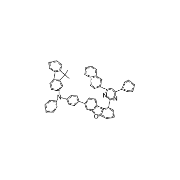 CC1(C)c2ccccc2-c2ccc(N(c3ccccc3)c3ccc(-c4ccc5c(c4)oc4cccc(-c6nc(-c7ccccc7)cc(-c7ccc8ccccc8c7)n6)c45)cc3)cc21